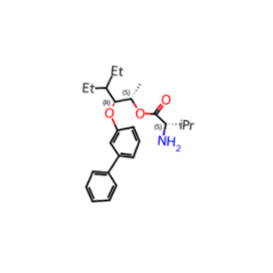 CCC(CC)[C@@H](Oc1cccc(-c2ccccc2)c1)[C@H](C)OC(=O)[C@@H](N)C(C)C